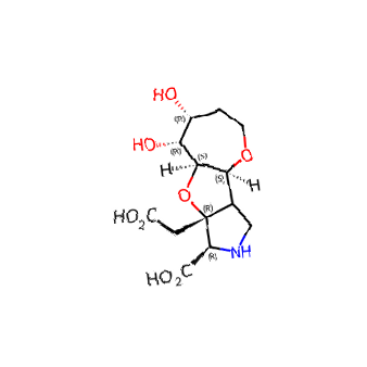 O=C(O)C[C@@]12O[C@H]3[C@H](O)[C@H](O)CCO[C@H]3C1CN[C@H]2C(=O)O